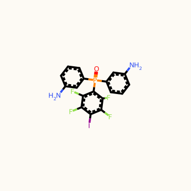 Nc1cccc(P(=O)(c2cccc(N)c2)c2c(F)c(F)c(I)c(F)c2F)c1